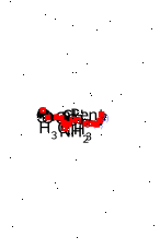 CCCCC/C=C\C/C=C\CCCCCCCCOc1cc(C(C)(C)N)cc(OCCCCOC2CCCCO2)c1C